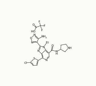 CCn1c(-c2nonc2N)nc2c(-c3ccc(Cl)s3)ncc(C(=O)NC3CCNC3)c21.O=C(O)C(F)(F)F